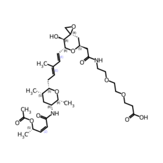 CC(=O)O[C@@H](C)/C=C\C(=O)N[C@@H]1C[C@H](C)[C@H](C/C=C(C)/C=C/[C@H]2O[C@H](CC(=O)NCCOCCOCCC(=O)O)C[C@@]3(CO3)[C@@H]2O)O[C@@H]1C